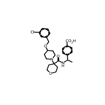 CC(NC(=O)C1(N2CCC(OCc3cccc(Cl)c3)CC2)CCOCC1)c1ccc(C(=O)O)cc1